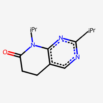 CC(C)c1ncc2c(n1)N(C(C)C)C(=O)CC2